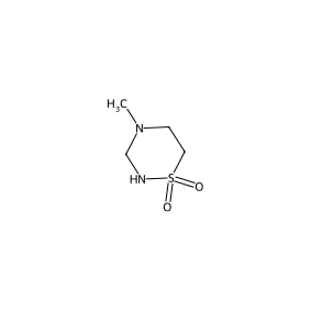 CN1CCS(=O)(=O)NC1